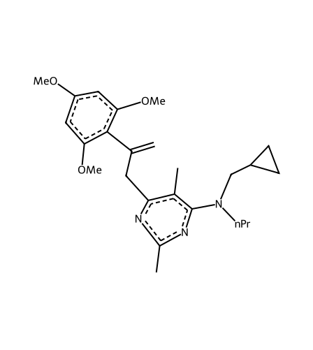 C=C(Cc1nc(C)nc(N(CCC)CC2CC2)c1C)c1c(OC)cc(OC)cc1OC